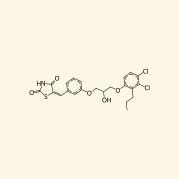 CCCc1c(OCC(O)COc2cccc(C=C3SC(=O)NC3=O)c2)ccc(Cl)c1Cl